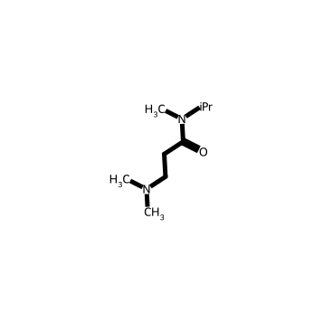 CC(C)N(C)C(=O)CCN(C)C